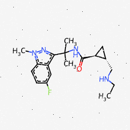 CCNC[C@H]1C[C@@H]1C(=O)NC(C)(C)c1nn(C)c2ccc(F)cc12